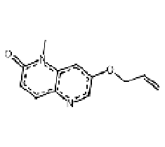 C=CCOc1cnc2ccc(=O)n(C)c2c1